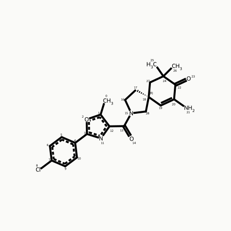 Cc1oc(-c2ccc(Cl)cc2)nc1C(=O)N1CC[C@]2(C=C(N)C(=O)C(C)(C)C2)C1